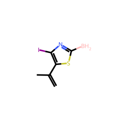 Bc1nc(I)c(C(=C)C)s1